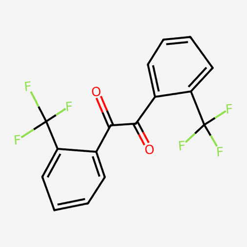 O=C(C(=O)c1ccccc1C(F)(F)F)c1ccccc1C(F)(F)F